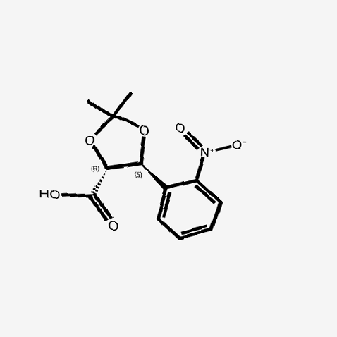 CC1(C)O[C@@H](C(=O)O)[C@H](c2ccccc2[N+](=O)[O-])O1